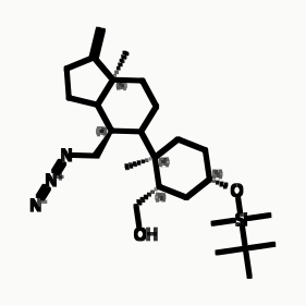 C=C1CCC2[C@H](CN=[N+]=[N-])C([C@@]3(C)CC[C@H](O[Si](C)(C)C(C)(C)C)C[C@@H]3CO)CC[C@]12C